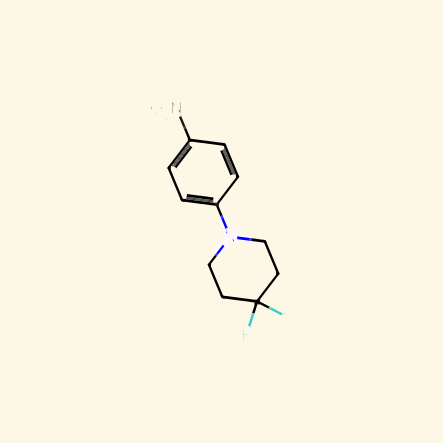 O=[N+]([O-])c1ccc(N2CCC(F)(F)CC2)cc1